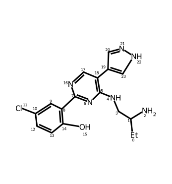 CCC(N)CNc1nc(-c2cc(Cl)ccc2O)ncc1-c1cn[nH]c1